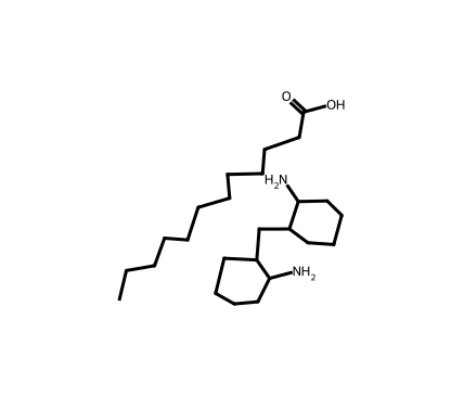 CCCCCCCCCCCC(=O)O.NC1CCCCC1CC1CCCCC1N